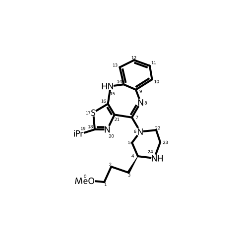 COCCC[C@H]1CN(C2=Nc3ccccc3Nc3sc(C(C)C)nc32)CCN1